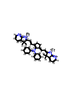 CCN1/C(=C/C=C2\CCC(/C=C/C3=[N+](CC)c4ncccc4C3(C)C)=C2N(c2ccccc2)c2ccccc2)C(C)(C)c2cccnc21